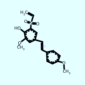 C=CS(=O)(=O)c1cc(/C=C/c2ccc(OC)cc2)cc(OC)c1O